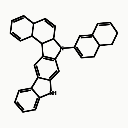 C1=CC2C=CC3C(c4cc5c(cc4N3C3=CCC4CCC=CC4=C3)[nH]c3ccccc35)C2C=C1